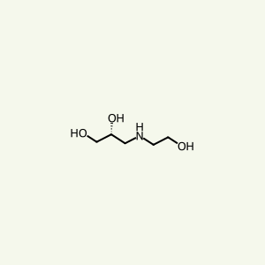 OCCNC[C@@H](O)CO